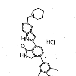 Cc1cc(-c2ccc(-c3cc4cc(CN5CCCCC5)ccc4[nH]3)c3c2CNC3=O)cc(C)c1O.Cl